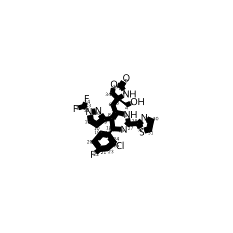 O=C1N[C@](CO)(CC2=C(c3ccn(C(F)F)n3)[C@H](c3ccc(F)cc3Cl)N=C(c3nccs3)N2)CO1